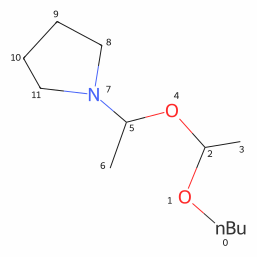 CCCCOC(C)OC(C)N1CCCC1